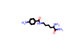 NC(=O)C(N)CCCCNC(=O)c1ccc(N)cc1